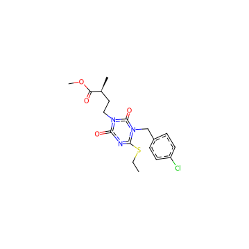 CCSc1nc(=O)n(CC[C@H](C)C(=O)OC)c(=O)n1Cc1ccc(Cl)cc1